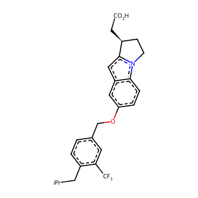 CC(C)Cc1ccc(COc2ccc3c(c2)cc2n3CC[C@@H]2CC(=O)O)cc1C(F)(F)F